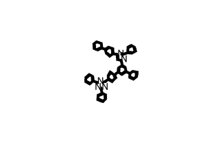 C1=CCCC(c2ccc(-c3cc(-c4cc(-c5ccc(-c6nc(-c7ccccc7)nc(-c7ccccc7)n6)cc5)cc(C5C=CC=CC5)c4)nc(-c4ccccc4)n3)cc2)=C1